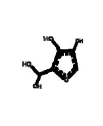 O[C](O)c1occ(O)c1O